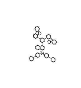 c1ccc(-c2ccc(N(c3ccc(-c4ccccc4)cc3)c3ccc(-c4cc(-c5cccc6c5oc5ccccc56)cc(-c5cccc6c5oc5ccccc56)c4)c4ccccc34)cc2)cc1